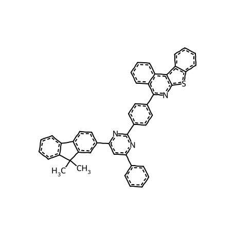 CC1(C)c2ccccc2-c2ccc(-c3cc(-c4ccccc4)nc(-c4ccc(-c5nc6sc7ccccc7c6c6ccccc56)cc4)n3)cc21